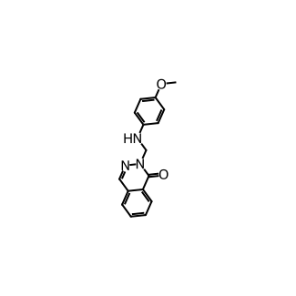 COc1ccc(NCn2ncc3ccccc3c2=O)cc1